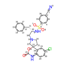 N#Cc1ccc(S(=O)(=O)N[C@@H](Cc2ccccc2)CN2CCC3(C2)OC(=O)Nc2ccc(Cl)cc23)cc1